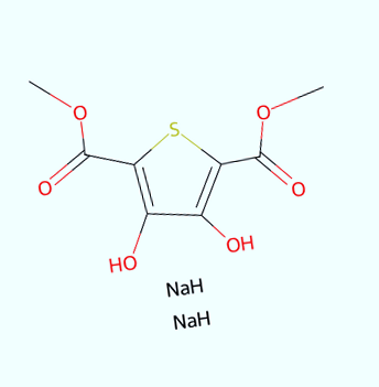 COC(=O)c1sc(C(=O)OC)c(O)c1O.[NaH].[NaH]